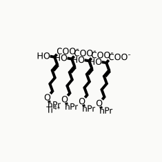 CCCOCCCC=CC(O)C(=O)[O-].CCCOCCCC=CC(O)C(=O)[O-].CCCOCCCC=CC(O)C(=O)[O-].CCCOCCCC=CC(O)C(=O)[O-].[Ti+4]